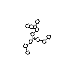 C1=CC2=Cc3c(c4c(-c5cccc(N(c6ccc(-c7cccc(-c8ccccc8)c7)cc6)c6ccc(-c7cccc(-c8ccccc8)c7)cc6)c5)cccc4n3-c3ccccc3)CC2C=C1